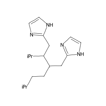 CC(C)CC[C](Cc1ncc[nH]1)C(Cc1ncc[nH]1)C(C)C